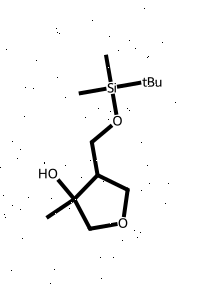 CC1(O)COCC1CO[Si](C)(C)C(C)(C)C